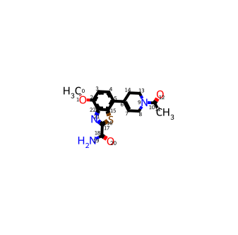 COc1ccc(C2=CCN(C(C)=O)CC2)c2sc(C(N)=O)nc12